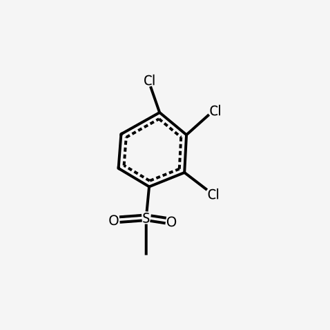 CS(=O)(=O)c1ccc(Cl)c(Cl)c1Cl